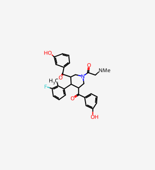 CNCC(=O)N1CC(C(=O)c2cccc(O)c2)C(c2cccc(F)c2C)C(C(=O)c2cccc(O)c2)C1